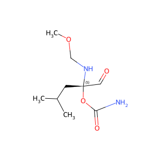 COCN[C@@](C=O)(CC(C)C)OC(N)=O